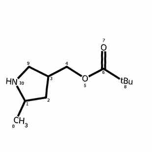 CC1CC(COC(=O)C(C)(C)C)CN1